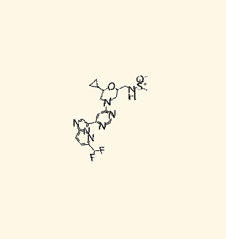 C[S+]([O-])NCC1CN(c2cc(-c3cnc4ccc(C(F)F)nn34)ncn2)CC(C2CC2)O1